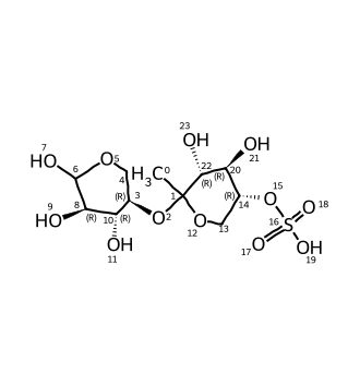 CC1(O[C@@H]2COC(O)[C@H](O)[C@H]2O)OC[C@@H](OS(=O)(=O)O)[C@H](O)[C@H]1O